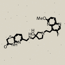 COc1ccc2ncc(F)c(CCN3CCC(O)(CNCc4ccc5c(n4)NC(=O)CS5)C3)c2n1